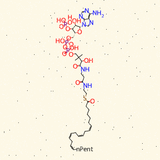 CCCCC/C=C\C/C=C\C/C=C\C/C=C\CCCCCC(=O)SCCNC(=O)CCNC(=O)[C@H](O)C(C)(C)COP(=O)(O)OP(=O)(O)OC[C@H]1O[C@@H](n2cnc3c(N)ncnc32)[C@H](O)[C@@H]1OP(=O)(O)O